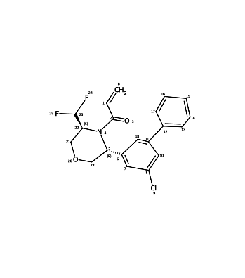 C=CC(=O)N1[C@H](c2cc(Cl)cc(-c3ccccc3)c2)COC[C@H]1C(F)F